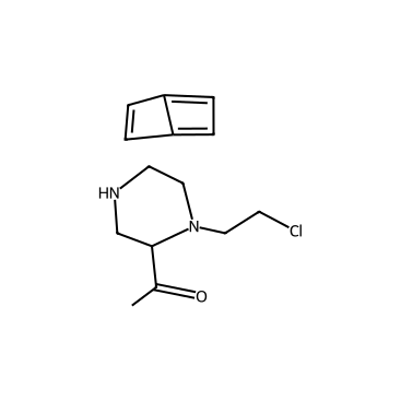 CC(=O)C1CNCCN1CCCl.c1cc2ccc1-2